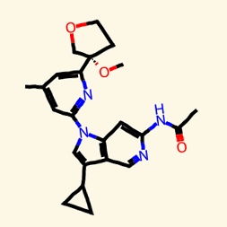 CO[C@@]1(c2cc(C)cc(-n3cc(C4CC4)c4cnc(NC(C)=O)cc43)n2)CCOC1